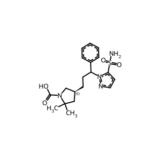 CC1(C)C[C@H](CCC(c2ccccc2)n2nccc2S(N)(=O)=O)CN1C(=O)O